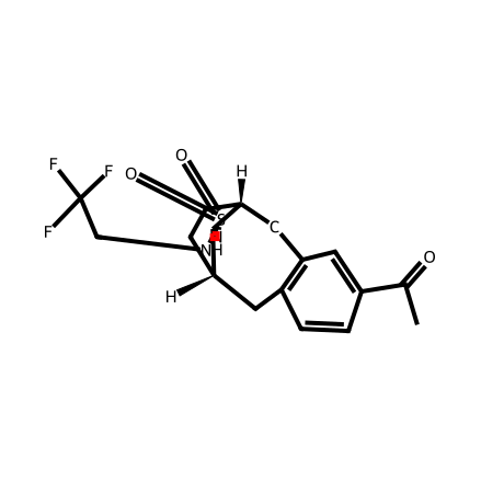 CC(=O)c1ccc2c(c1)C[C@H]1CC[C@@H](C2)[C@]12CN(CC(F)(F)F)S(=O)(=O)N2